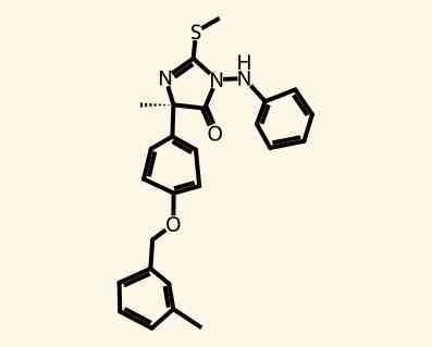 CSC1=N[C@](C)(c2ccc(OCc3cccc(C)c3)cc2)C(=O)N1Nc1ccccc1